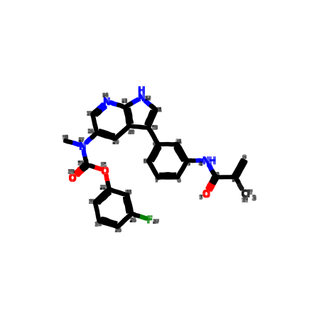 C=C(C(=O)Nc1cccc(-c2c[nH]c3ncc(N(C)C(=O)Oc4cccc(F)c4)cc23)c1)C(F)(F)F